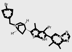 Cc1c(-c2[nH]c3sc([C@@H]4C[C@@H]5C[C@H]4CN5Cc4ccc(Br)cc4)c(C)c3c2C(C)C)cn2ncnc2c1C